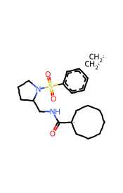 O=C(NCC1CCCN1S(=O)(=O)c1ccccc1)[C]1CCCCCCC1.[CH2].[CH2]